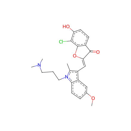 COc1ccc2c(c1)c(C=C1Oc3c(ccc(O)c3Cl)C1=O)c(C)n2CCCN(C)C